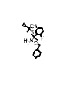 CC(C#N)(SCC(N)(COCc1ccccc1)c1ccccc1F)C1CC1